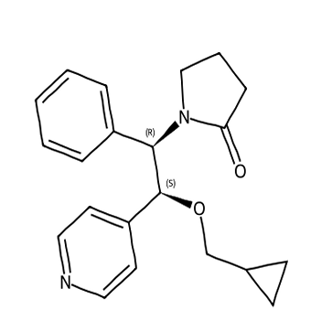 O=C1CCCN1[C@H](c1ccccc1)[C@@H](OCC1CC1)c1ccncc1